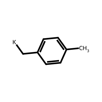 Cc1ccc([CH2][K])cc1